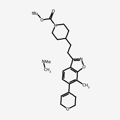 CNC.Cc1c(C2=CCOCC2)ccc2c(CCC3CCN(C(=O)OC(C)(C)C)CC3)noc12